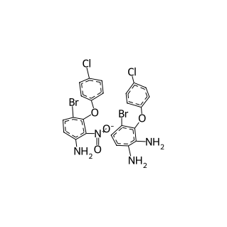 Nc1ccc(Br)c(Oc2ccc(Cl)cc2)c1N.Nc1ccc(Br)c(Oc2ccc(Cl)cc2)c1[N+](=O)[O-]